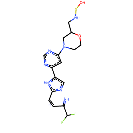 N=C(/C=C\c1ncc(-c2cc(N3CCOC(CNSO)C3)ncn2)[nH]1)C(F)F